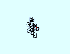 C=C(c1c(CNC(=O)c2cnn(C)c2)c(=O)c2ccc(Cl)cc2n1-c1ccccc1)N(C)C